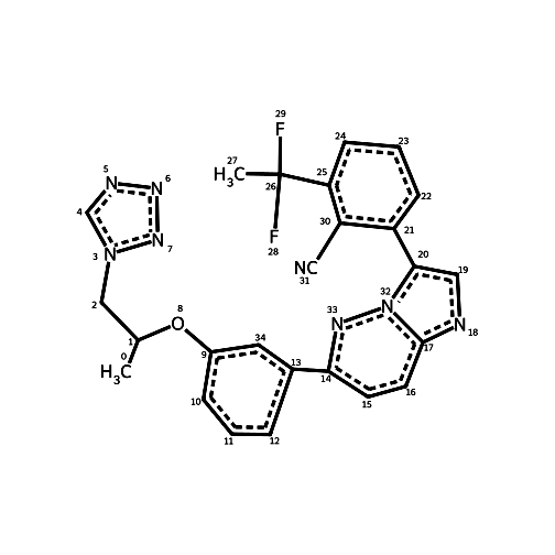 CC(Cn1cnnn1)Oc1cccc(-c2ccc3ncc(-c4cccc(C(C)(F)F)c4C#N)n3n2)c1